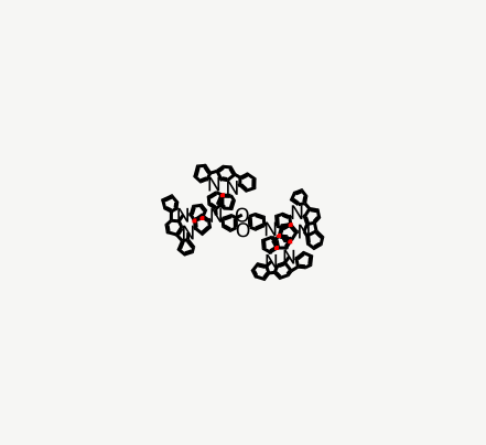 C1=CC2c3ccccc3N(c3ccccc3)C2c2c1c1ccccc1n2-c1ccc(N(c2ccc(-n3c4ccccc4c4ccc5c6ccccc6n(-c6ccccc6)c5c43)cc2)c2ccc3c(c2)Oc2ccc(N(c4ccc(-n5c6ccccc6c6ccc7c8ccccc8n(-c8ccccc8)c7c65)cc4)c4ccc(-n5c6ccccc6c6ccc7c8ccccc8n(-c8ccccc8)c7c65)cc4)cc2O3)cc1